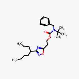 CCCCC(CCC)c1noc(CCOC(=O)N(Cc2ccccc2)C(C)(C)C)n1